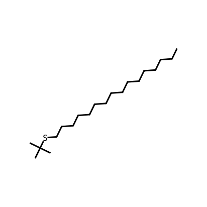 CCCCCCCCCCCCCCCCSC(C)(C)C